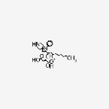 CCCCCCCCC(C)C1CC2(CCNCC2)N1c1ccccc1.O=C(O)C=CC(=O)O